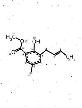 C/C=C/Cc1cc(F)cc(C(=O)OC)c1O